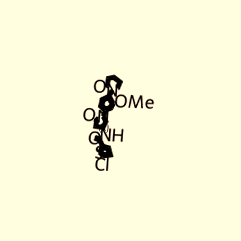 COc1cc(N2C[C@H](NC(=O)c3ccc(Cl)s3)CC2=O)ccc1N1CCCCC1=O